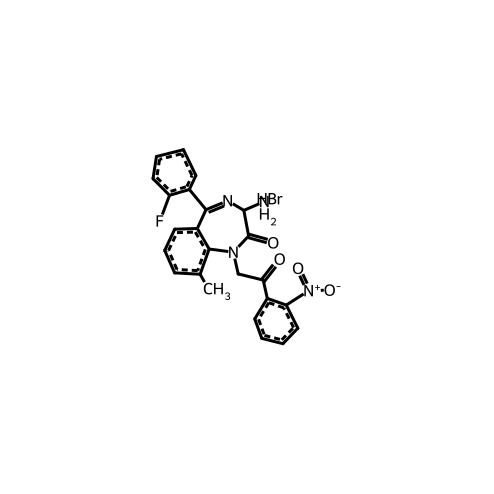 Br.Cc1cccc2c1N(CC(=O)c1ccccc1[N+](=O)[O-])C(=O)C(N)N=C2c1ccccc1F